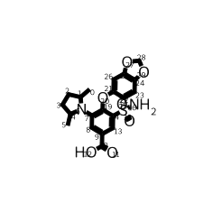 CC1CCC(C)N1c1cc(C(=O)O)cc(S(N)(=O)=O)c1Oc1ccc2c(c1)OCO2